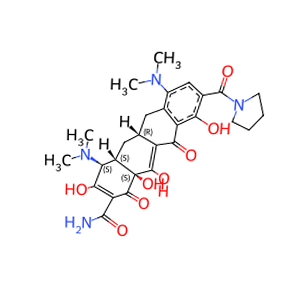 CN(C)c1cc(C(=O)N2CCCC2)c(O)c2c1C[C@H]1C[C@H]3[C@H](N(C)C)C(O)=C(C(N)=O)C(=O)[C@@]3(O)C(O)=C1C2=O